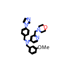 COc1cccc(CN(Cc2ccc(-n3ccnc3)cc2)c2ccnc(CN3CCOCC3)c2)c1